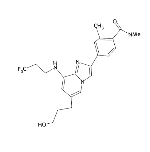 CNC(=O)c1ccc(-c2cn3cc(CCCO)cc(NCCC(F)(F)F)c3n2)cc1C